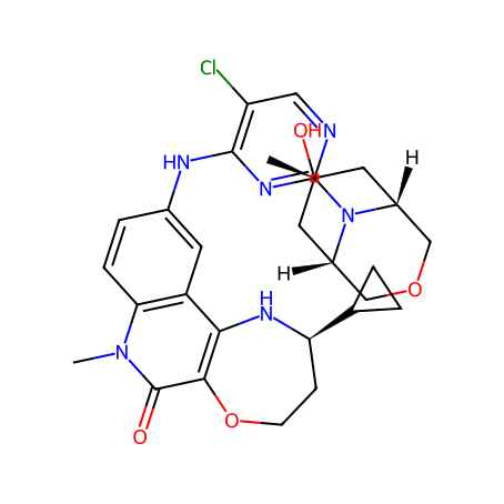 Cn1c(=O)c2c(c3cc(Nc4nc(N5[C@@H]6COC[C@H]5C[C@@](C)(O)C6)ncc4Cl)ccc31)N[C@@H](C1CC1)CCO2